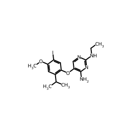 CCNc1ncc(Oc2cc(I)c(OC)cc2C(C)C)c(N)n1